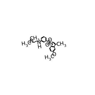 COc1ccc2c(c1)c(C)cn2S(=O)(=O)c1cccc(NCCN(C)C)c1